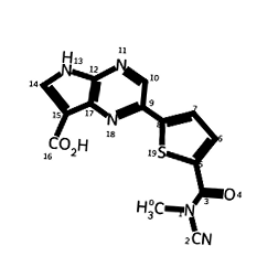 CN(C#N)C(=O)c1ccc(-c2cnc3[nH]cc(C(=O)O)c3n2)s1